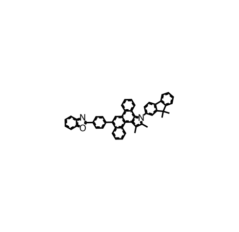 Cc1c(C)n(-c2ccc3c(c2)C(C)(C)c2ccccc2-3)c2c3ccccc3c3cc(-c4ccc(-c5nc6ccccc6o5)cc4)c4ccccc4c3c12